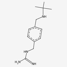 CC(C)(C)NCc1ccc(CNC(=N)N)cc1